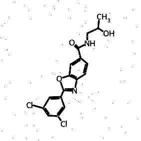 CC(O)CNC(=O)c1ccc2nc(-c3cc(Cl)cc(Cl)c3)oc2c1